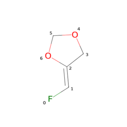 FC=C1COCO1